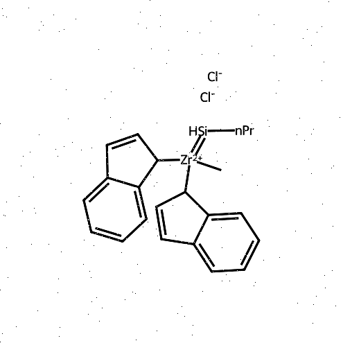 CCC[SiH]=[Zr+2]([CH3])([CH]1C=Cc2ccccc21)[CH]1C=Cc2ccccc21.[Cl-].[Cl-]